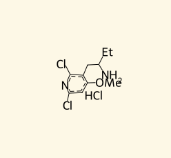 CCC(N)Cc1c(OC)cc(Cl)nc1Cl.Cl